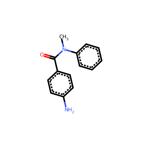 CN(C(=O)c1ccc(N)cc1)c1ccccc1